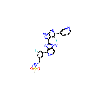 CS(=O)(=O)NCc1cc(F)cc(-c2nccc3[nH]c(-c4n[nH]c5cnc(-c6cccnc6)c(F)c45)nc23)c1